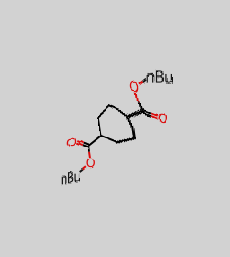 CCCCOC(=O)C1CCC(C(=O)OCCCC)CC1